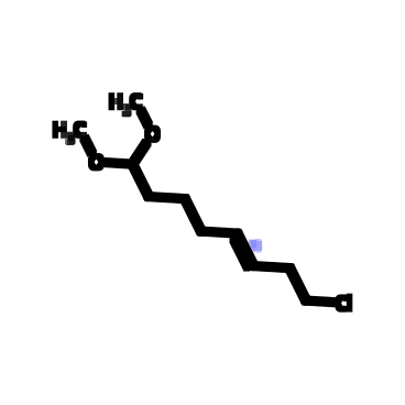 COC(CCC/C=C/CCCl)OC